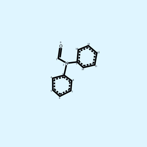 O=[C]N(c1ccccc1)c1ccccc1